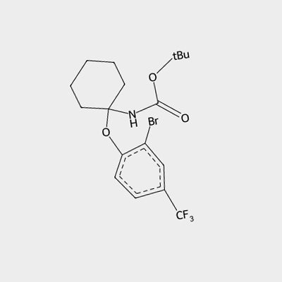 CC(C)(C)OC(=O)NC1(Oc2ccc(C(F)(F)F)cc2Br)CCCCC1